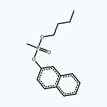 CCCCOP(C)(=O)Oc1ccc2ccccc2c1